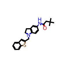 CC(C)(C)CC(=O)Nc1ccc2c(c1)CCN2Cc1cc2ccccc2s1